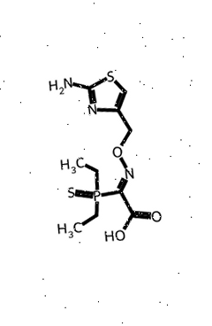 CCP(=S)(CC)C(=NOCc1csc(N)n1)C(=O)O